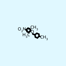 Cc1cc([N+](=O)[O-])cc(C)c1OCC1CCC(C)CC1